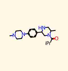 CC(C)C(=O)N1CC(c2ccc(N3CCN(C)CC3)cc2)NCC1C